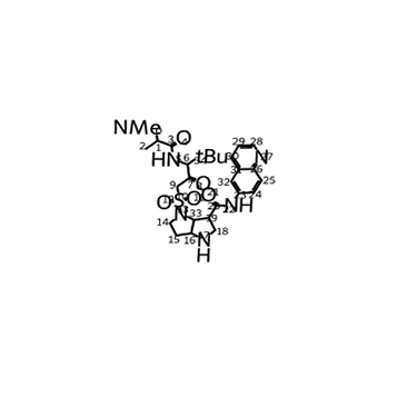 CNC(C)C(=O)NC(C(=O)CS(=O)(=O)N1CCC2NCC(C(=O)Nc3ccc4ncccc4c3)C21)C(C)(C)C